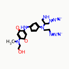 CN(CCO)C1=CC(=O)C(Nc2ccc(N(CCN=[N+]=[N-])C(C=N)CN=[N+]=[N-])cc2)=CC1=O